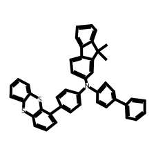 CC1(C)c2ccccc2-c2ccc(N(c3ccc(-c4ccccc4)cc3)c3ccc(-c4cccc5c4Sc4ccccc4S5)cc3)cc21